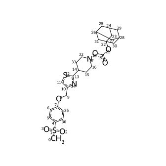 CS(=O)(=O)c1ccc(OCc2csc(C3CCN(OC(=O)OC45CC6CC(CC(C6)C4)C5)CC3)n2)cc1